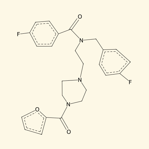 O=C(c1ccc(F)cc1)N(CCN1CCN(C(=O)c2ccco2)CC1)Cc1ccc(F)cc1